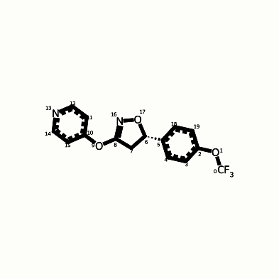 FC(F)(F)Oc1ccc([C@@H]2CC(Oc3ccncc3)=NO2)cc1